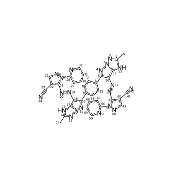 Cc1nn2nc(-c3ccc(-c4nn5nc(C)[nH]c5c4/N=N/c4c(C#N)cnn4-c4ccccn4)cc3)c(/N=N/c3c(C#N)cnn3-c3ccccn3)c2[nH]1